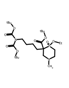 CCOP1(=O)CCN(C)CC1(CCCCN(C(=O)OC(C)(C)C)C(=O)OC(C)(C)C)C(=O)OC(C)(C)C